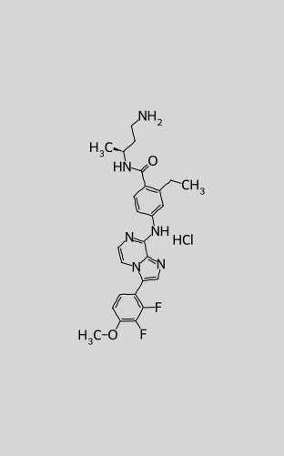 CCc1cc(Nc2nccn3c(-c4ccc(OC)c(F)c4F)cnc23)ccc1C(=O)N[C@@H](C)CCN.Cl